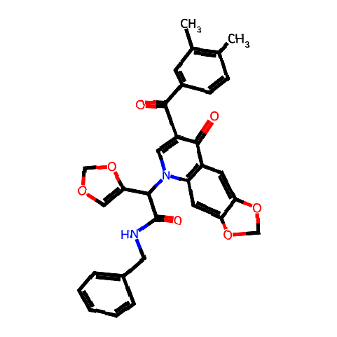 Cc1ccc(C(=O)c2cn(C(C(=O)NCc3ccccc3)C3=COCO3)c3cc4c(cc3c2=O)OCO4)cc1C